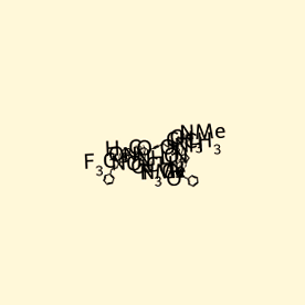 CN[C@@H](C)C(=O)N[C@H](C(=O)N1CCC[C@H]1CN(CCc1ccccc1)C(=O)C(F)(F)F)[C@@H](C)OCC#CCO[C@H](C)[C@H](NC(=O)[C@H](C)NC)C(=O)N1CCC[C@H]1CN(CCc1ccccc1)C(=O)C(F)(F)F